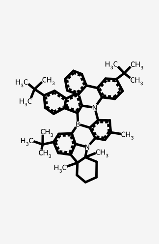 Cc1cc2c3c(c1)N1c4c(cc(C(C)(C)C)cc4C4(C)CCCCC14C)B3c1c(sc3cc(C(C)(C)C)ccc13)N2c1ccc(C(C)(C)C)cc1-c1ccccc1